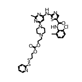 Cc1nc(Nc2ncc(C(=O)Nc3c(C)cccc3Cl)s2)cc(N2CCN(CCOC(=O)OCCSSc3ccccn3)CC2)n1